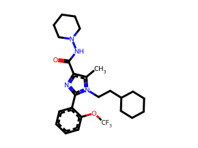 Cc1c(C(=O)NN2CCCCC2)nc(-c2ccccc2OC(F)(F)F)n1CCC1CCCCC1